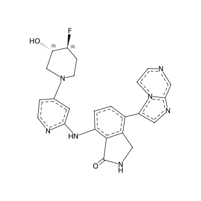 O=C1NCc2c(-c3cnc4cnccn34)ccc(Nc3cc(N4CC[C@H](F)[C@@H](O)C4)ccn3)c21